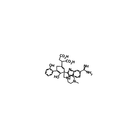 CN1CCN(CC2(c3nc4cc(C(=N)N)ccc4[nH]3)C=C(C(CC(=O)O)C(=O)O)CC(c3ccccc3O)=C2O)CC1